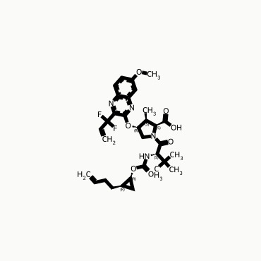 C=CCC[C@@H]1C[C@H]1OC(=O)N[C@H](C(=O)N1C[C@H](Oc2nc3cc(OC)ccc3nc2C(F)(F)C=C)[C@@H](C)[C@H]1C(=O)O)C(C)(C)C